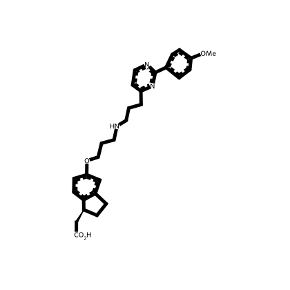 COc1ccc(-c2nccc(CCCNCCCOc3ccc4c(c3)CC[C@H]4CC(=O)O)n2)cc1